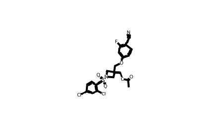 CC(=O)OCC1(COc2ccc(C#N)c(F)c2)CN(S(=O)(=O)c2ccc(Cl)cc2Cl)C1